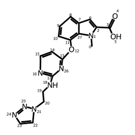 Cn1c(C(=O)O)cc2cccc(Oc3ccnc(NCCn4ccnn4)n3)c21